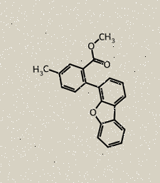 COC(=O)c1cc(C)ccc1-c1cccc2c1oc1ccccc12